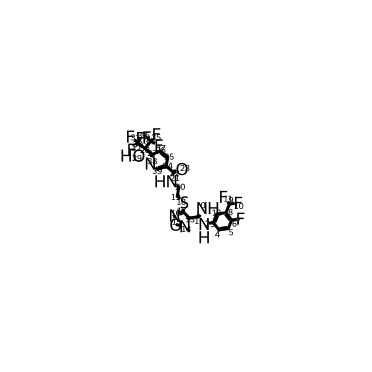 N=C(Nc1ccc(F)c(C(F)F)c1)c1nonc1SCCNC(=O)c1ccc(C(O)(C(F)(F)F)C(F)(F)F)nc1